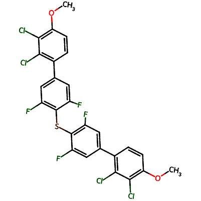 COc1ccc(-c2cc(F)c(Sc3c(F)cc(-c4ccc(OC)c(Cl)c4Cl)cc3F)c(F)c2)c(Cl)c1Cl